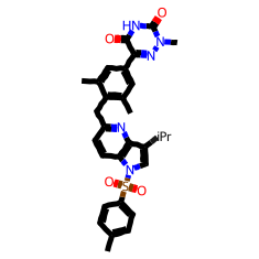 Cc1ccc(S(=O)(=O)n2cc(C(C)C)c3nc(Cc4c(C)cc(-c5nn(C)c(=O)[nH]c5=O)cc4C)ccc32)cc1